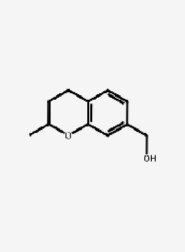 CC1CCc2ccc(CO)cc2O1